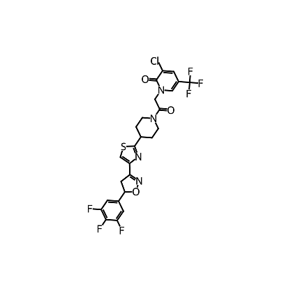 O=C(Cn1cc(C(F)(F)F)cc(Cl)c1=O)N1CCC(c2nc(C3=NOC(c4cc(F)c(F)c(F)c4)C3)cs2)CC1